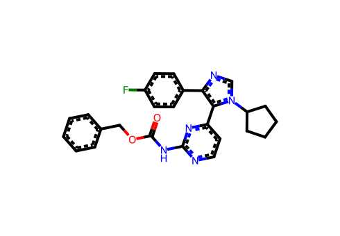 O=C(Nc1nccc(-c2c(-c3ccc(F)cc3)ncn2C2CCCC2)n1)OCc1ccccc1